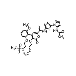 COCCOc1c(-c2c(OC)cccc2OCCOS(C)(=O)=O)cc(C(=O)Nc2nnc(-n3nccc3NC(C)=O)s2)oc1=O